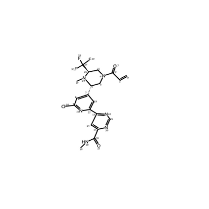 C=CC(=O)N1C[C@H](c2cc(Cl)nc(-c3cc(C(=O)NC)ncn3)c2)N(C)[C@@H](C(F)(F)F)C1